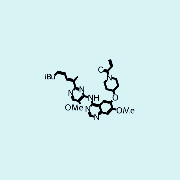 C=CC(=O)N1CCC(Oc2cc3c(Nc4nc(/C(C)=C/C=C\C(C)CC)ncc4OC)ncnc3cc2OC)CC1